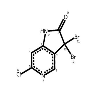 O=C1Nc2cc(Cl)ncc2C1(Br)Br